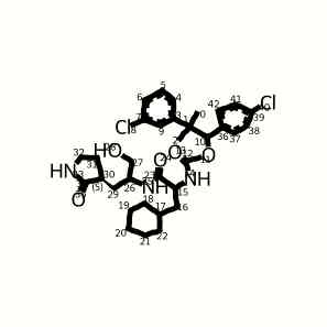 CC(C)(c1cccc(Cl)c1)C(OC(=O)NC(CC1CCCCC1)C(=O)NC(CO)C[C@@H]1CCNC1=O)c1ccc(Cl)cc1